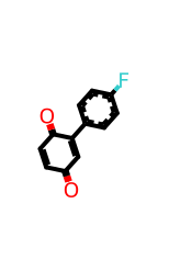 O=C1C=CC(=O)C(c2ccc(F)cc2)=C1